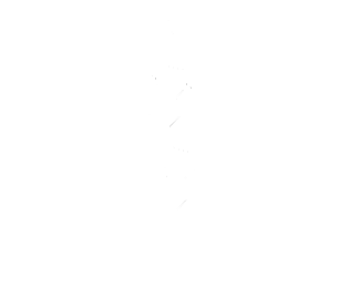 C=CCc1cnc2cc(-c3ccc(/C=C/CCCC(C)F)cc3)ccc2n1